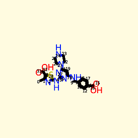 Cc1nc(Nc2nc(NCc3ccc(C(=O)O)cc3)cc(N3CCNCC3)n2)sc1C(=O)O